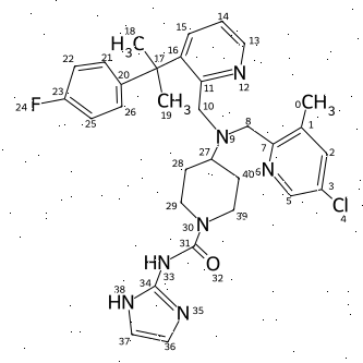 Cc1cc(Cl)cnc1CN(Cc1ncccc1C(C)(C)c1ccc(F)cc1)C1CCN(C(=O)Nc2ncc[nH]2)CC1